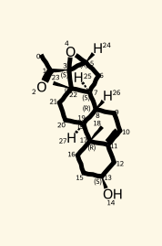 CC(=O)[C@@]12O[C@@H]1C[C@H]1[C@@H]3CC=C4C[C@@H](O)CC[C@]4(C)[C@H]3CC[C@@]12C